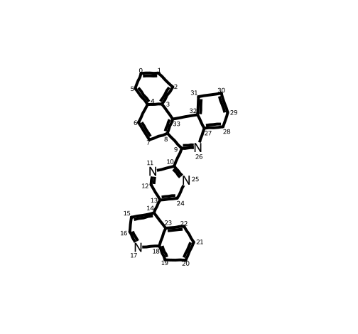 c1ccc2c(c1)ccc1c(-c3ncc(-c4ccnc5ccccc45)cn3)nc3ccccc3c12